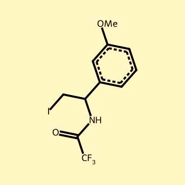 COc1cccc(C(CI)NC(=O)C(F)(F)F)c1